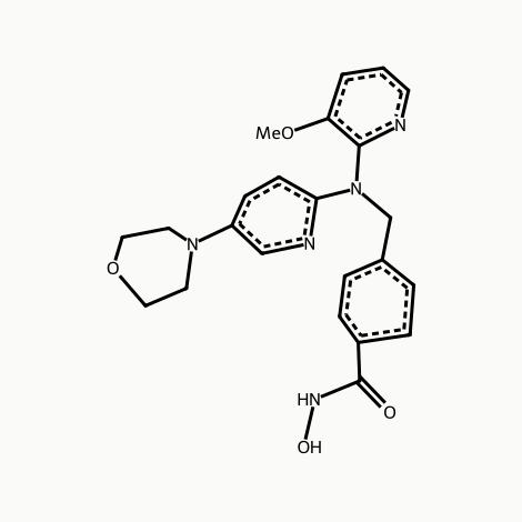 COc1cccnc1N(Cc1ccc(C(=O)NO)cc1)c1ccc(N2CCOCC2)cn1